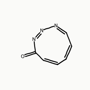 O=C1C=CC=CC=NN=N1